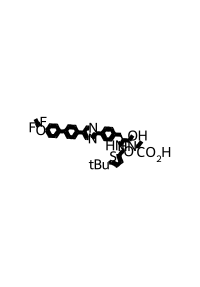 C[C@@H](NC(O)[C@H](Cc1ccc(-c2ncc(-c3ccc(-c4ccc(OC(C)(F)F)cc4)cc3)cn2)cc1)NC(=O)c1ccc(C(C)(C)C)s1)C(=O)O